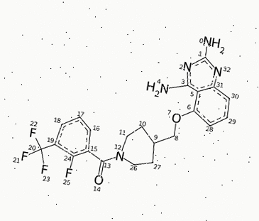 Nc1nc(N)c2c(OCC3CCN(C(=O)c4cccc(C(F)(F)F)c4F)CC3)cccc2n1